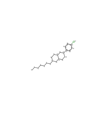 CCCCCCCC1CCC2CC(c3ccc(Cl)cc3)CCC2C1